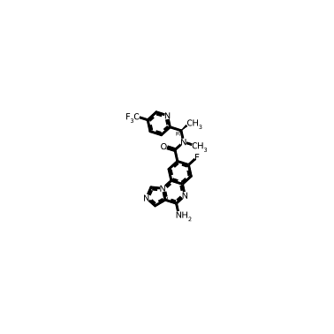 C[C@H](c1ccc(C(F)(F)F)cn1)N(C)C(=O)c1cc2c(cc1F)nc(N)c1cncn12